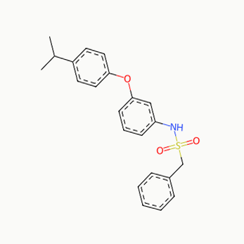 CC(C)c1ccc(Oc2cccc(NS(=O)(=O)Cc3ccccc3)c2)cc1